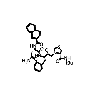 CC(C)(C)NC(=O)[C@@H]1CSCN1C[C@@H](O)[C@H](Cc1ccccc1)NC(=O)[C@H](CC(N)=O)NC(=O)c1ccc2ccccc2c1